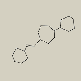 C1CCC(OCC2CCCC(C3CCCCC3)CC2)CC1